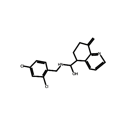 C=C1CCC(C(O)NCc2ccc(Cl)cc2Cl)c2cccnc21